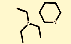 C1CCNCC1.CCN(CC)CC